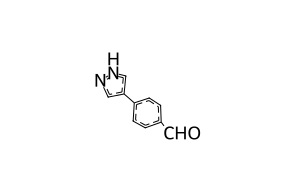 O=Cc1ccc(-c2cn[nH]c2)cc1